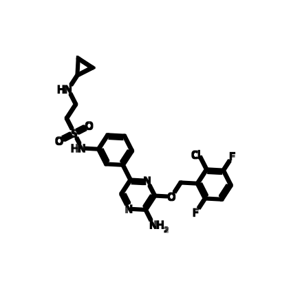 Nc1ncc(-c2cccc(NS(=O)(=O)CCNC3CC3)c2)nc1OCc1c(F)ccc(F)c1Cl